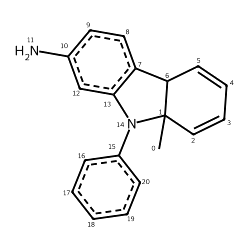 CC12C=CC=CC1c1ccc(N)cc1N2c1ccccc1